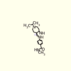 CNC(=O)c1ccc(N/C=C2/CCN(C(C)C)CCC2=N)cc1